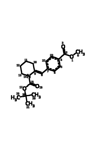 COC(=O)c1ccc(C=C2CCCCN2C(=O)OC(C)(C)C)cc1